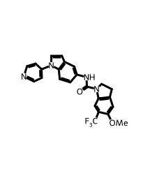 COc1cc2c(cc1C(F)(F)F)N(C(=O)Nc1ccc3c(ccn3-c3ccncc3)c1)CC2